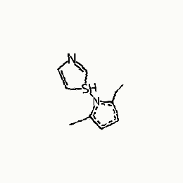 Cc1ccc(C)n1[SH]1C=CN=C1